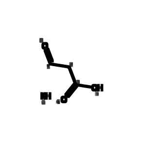 O=CCC(=O)O.[KH]